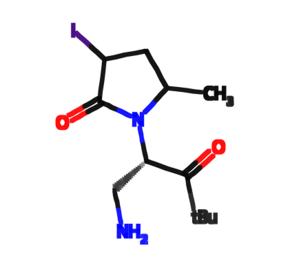 CC1CC(I)C(=O)N1[C@@H](CN)C(=O)C(C)(C)C